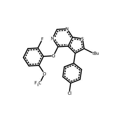 CC(C)(C)c1sc2ncnc(Oc3c(F)cccc3OC(F)(F)F)c2c1-c1ccc(Cl)cc1